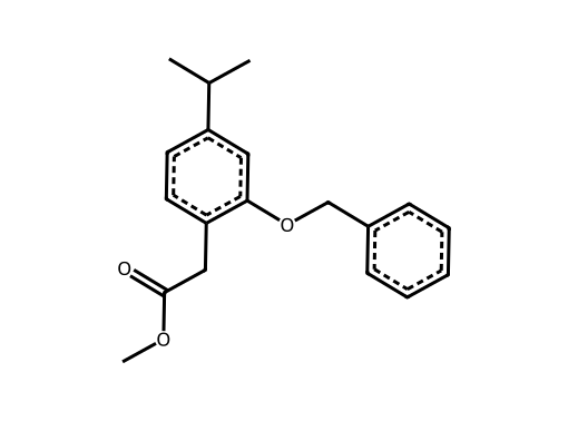 COC(=O)Cc1ccc(C(C)C)cc1OCc1ccccc1